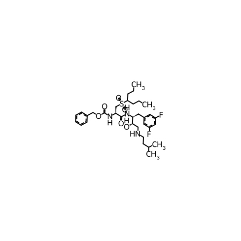 CCCC(CCC)S(=O)(=O)C[C@H](NC(=O)OCc1ccccc1)C(=O)N[C@@H](Cc1cc(F)cc(F)c1)[C@H](O)CNCCC(C)C